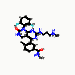 CCCNC(=O)c1ccc(C)c(-c2nc(NCCCNC(C)C)nc3c2CNC(=O)N3c2c(F)cccc2F)c1